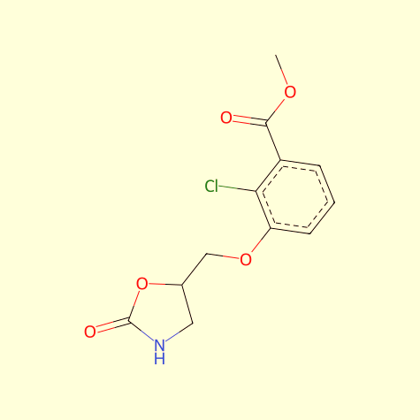 COC(=O)c1cccc(OCC2CNC(=O)O2)c1Cl